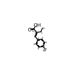 CC/C(=C\c1ccc(F)cc1)C(=O)O